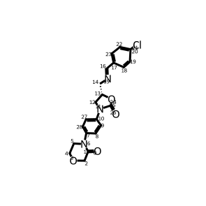 O=C1COCCN1c1ccc(N2C[C@H](C/N=C/c3ccc(Cl)cc3)OC2=O)cc1